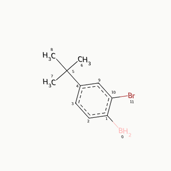 Bc1ccc(C(C)(C)C)cc1Br